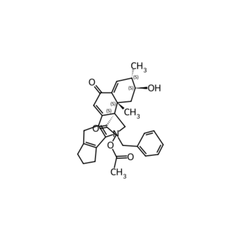 CC(=O)OCC(=O)[C@]12CN(Cc3ccccc3)C3=C(CC4=C3CCC4)C1=CC(=O)C1=C[C@H](C)[C@@H](O)C[C@@]12C